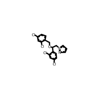 Clc1ccc(COC(Cn2cccn2)c2ccc(Cl)cc2Cl)c(Cl)c1